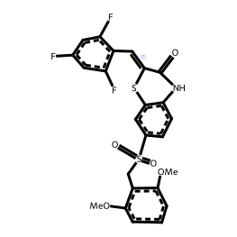 COc1cccc(OC)c1CS(=O)(=O)c1ccc2c(c1)S/C(=C\c1c(F)cc(F)cc1F)C(=O)N2